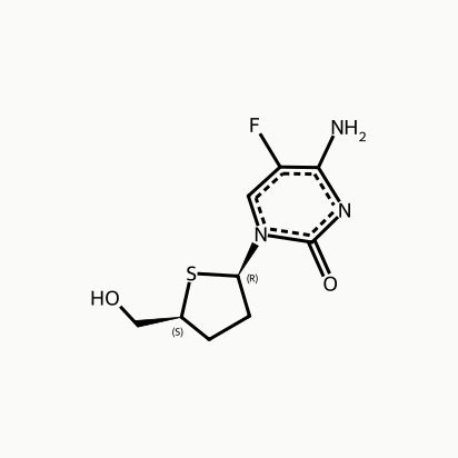 Nc1nc(=O)n([C@H]2CC[C@@H](CO)S2)cc1F